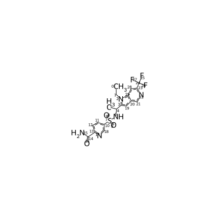 CCn1c(C(C)NS(=O)(=O)c2ccc(C(N)=O)nc2)cc2cnc(C(F)(F)F)cc21